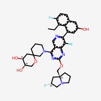 CCc1c(F)ccc2cc(O)cc(-c3ncc4c(N5CCCC6(C[C@H](O)[C@H](O)CO6)C5)nc(OC[C@@]56CCCN5C[C@H](F)C6)nc4c3F)c12